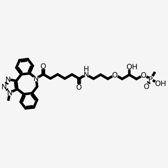 Cn1nnc2c1-c1ccccc1CN(C(=O)CCCCC(=O)NCCCOCC(O)COP(C)(=O)O)c1ccccc1-2